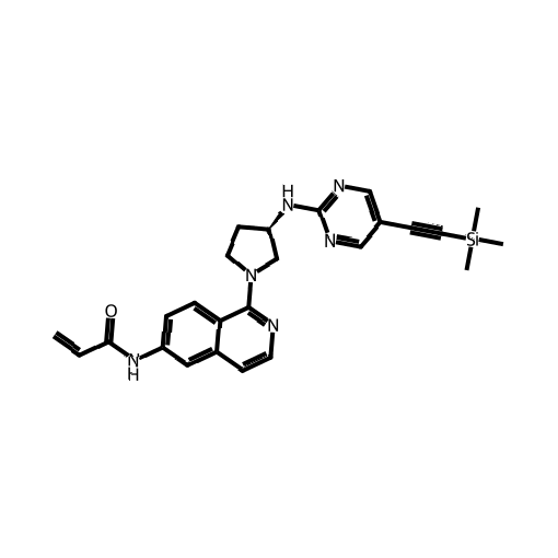 C=CC(=O)Nc1ccc2c(N3CC[C@@H](Nc4ncc(C#C[Si](C)(C)C)cn4)C3)nccc2c1